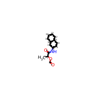 CC(OC=O)C(=O)Nc1ccc2ccccc2c1